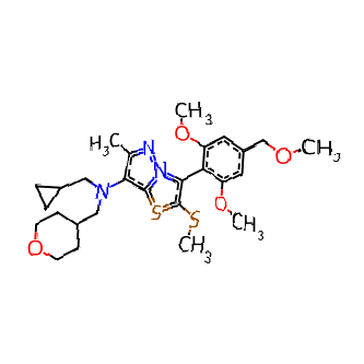 COCc1cc(OC)c(-c2c(SC)sc3c(N(CC4CCOCC4)CC4CC4)c(C)nn23)c(OC)c1